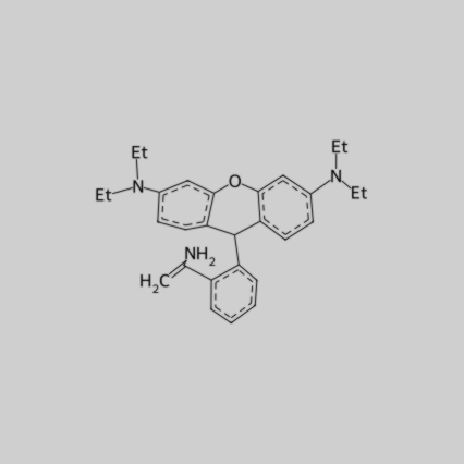 C=C(N)c1ccccc1C1c2ccc(N(CC)CC)cc2Oc2cc(N(CC)CC)ccc21